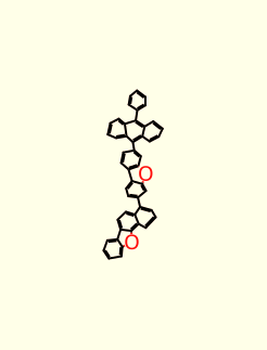 c1ccc(-c2c3ccccc3c(-c3ccc4c(c3)oc3cc(-c5cccc6c5ccc5c7ccccc7oc65)ccc34)c3ccccc23)cc1